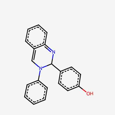 Oc1ccc(C2N=c3ccccc3=CN2c2ccccc2)cc1